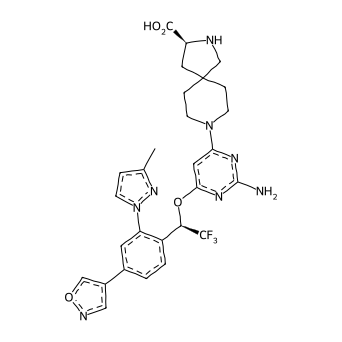 Cc1ccn(-c2cc(-c3cnoc3)ccc2[C@@H](Oc2cc(N3CCC4(CC3)CN[C@H](C(=O)O)C4)nc(N)n2)C(F)(F)F)n1